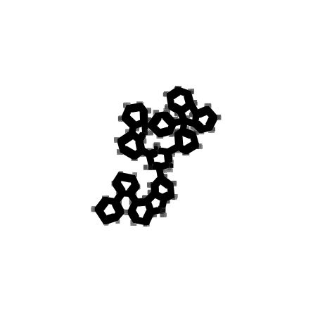 c1ccc(-c2ccccc2-c2cccc3oc4ccc(-c5nc(-c6cccc(C7(c8ccccc8)c8ccccc8-c8ccccc87)c6)nc(-c6cccc7c6sc6ccccc67)n5)cc4c23)cc1